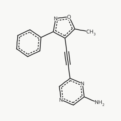 Cc1onc(-c2ccccc2)c1C#Cc1cncc(N)n1